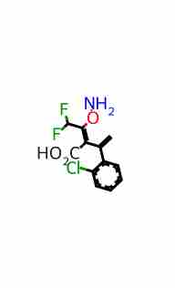 C=C(/C(C(=O)O)=C(\ON)C(F)F)c1ccccc1Cl